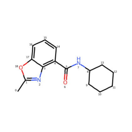 Cc1nc2c(C(=O)NC3CCCCC3)cccc2o1